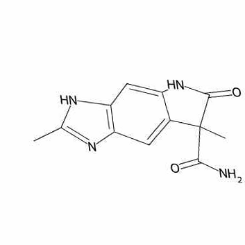 Cc1nc2cc3c(cc2[nH]1)NC(=O)C3(C)C(N)=O